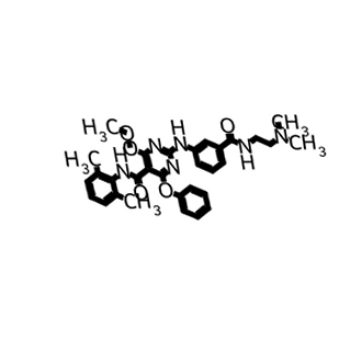 COOc1nc(Nc2cccc(C(=O)NCCN(C)C)c2)nc(Oc2ccccc2)c1C(=O)Nc1c(C)cccc1C